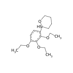 CCOc1ccc([SiH]2CCCCO2)c(OCC)c1OCC